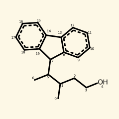 CC([CH]CO)C(C)C1c2ccccc2-c2ccccc21